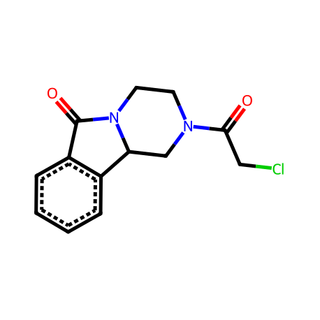 O=C(CCl)N1CCN2C(=O)c3ccccc3C2C1